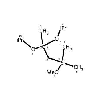 CO[Si](C)(C)C[Si](C)(OC(C)C)OC(C)C